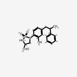 CC(Cc1ccc(N2CC(C=O)NS2(=O)=O)c(O)c1)c1ccccc1